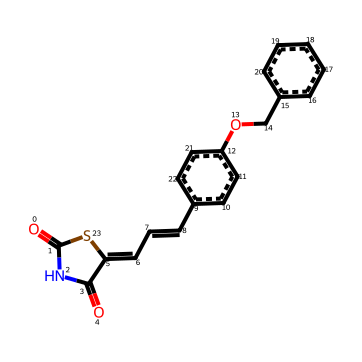 O=C1NC(=O)C(=CC=Cc2ccc(OCc3ccccc3)cc2)S1